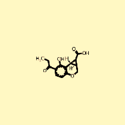 CCC(=O)c1ccc2c(c1O)[C@@H]1C(C(=O)O)[C@H]1CO2